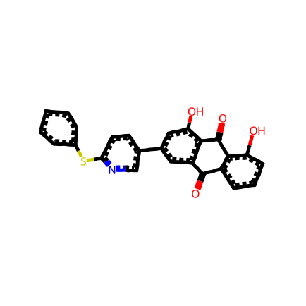 O=C1c2cccc(O)c2C(=O)c2c(O)cc(-c3ccc(Sc4ccccc4)nc3)cc21